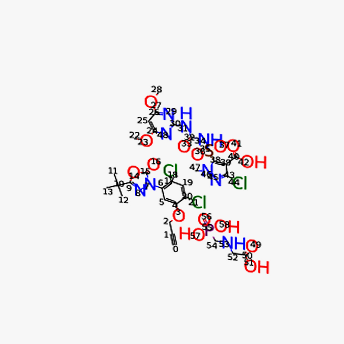 C#CCOc1cc(-n2nc(C(C)(C)C)oc2=O)c(Cl)cc1Cl.COc1cc(OC)nc(NC(=O)NS(=O)(=O)c2c(C(=O)O)c(Cl)nn2C)n1.O=C(O)CNCP(=O)(O)O